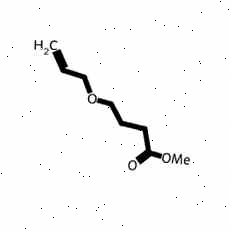 C=CCOCCCC(=O)OC